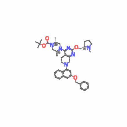 C[C@@H]1CN(c2nc(OC[C@@H]3CCCN3C)nc3c2CCN(c2cc(OCc4ccccc4)cc4ccccc24)C3)[C@@H](C)CN1C(=O)OC(C)(C)C